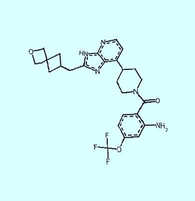 Nc1cc(OC(F)(F)F)ccc1C(=O)N1CCC(c2ccnc3[nH]c(CC4CC5(COC5)C4)nc23)CC1